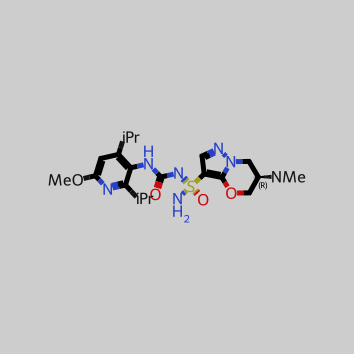 CN[C@H]1COc2c(S(N)(=O)=NC(=O)Nc3c(C(C)C)cc(OC)nc3C(C)C)cnn2C1